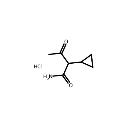 CC(=O)C(C(N)=O)C1CC1.Cl